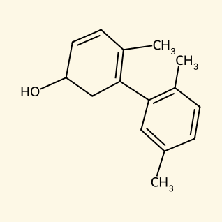 CC1=C(c2cc(C)ccc2C)CC(O)C=C1